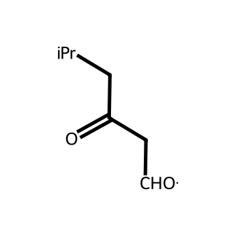 CC(C)CC(=O)C[C]=O